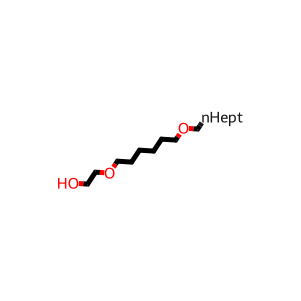 [CH2]CCCCCCCOCCCCCCOCCO